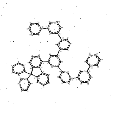 c1ccc(C2(c3ccccc3)c3ccccc3-c3c(-c4cc(-c5cccc(-c6cncc(-c7cccnc7)c6)c5)cc(-c5cccc(-c6cncc(-c7cccnc7)c6)c5)c4)cccc32)cc1